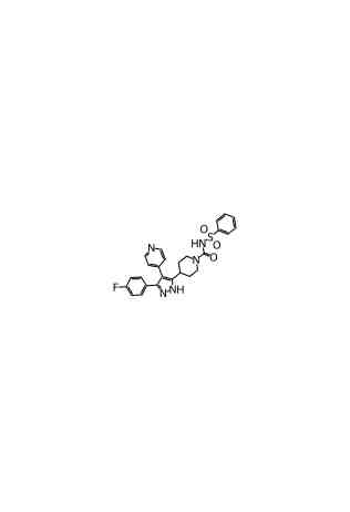 O=C(NS(=O)(=O)c1ccccc1)N1CCC(c2[nH]nc(-c3ccc(F)cc3)c2-c2ccncc2)CC1